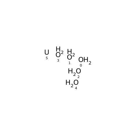 O.O.O.O.O.[U]